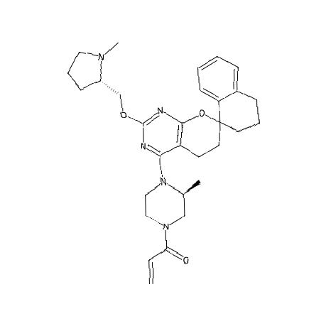 C=CC(=O)N1CCN(c2nc(OC[C@@H]3CCCN3C)nc3c2CCC2(CCCc4ccccc42)O3)[C@@H](C)C1